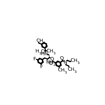 CCCN(CCC)C(=O)c1cc(C)cc(C(=O)O[C@H](CNC(C)(C)c2cccc(CC)c2)[C@@H](N)Cc2cc(F)cc(F)c2)c1